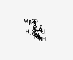 COC(=O)NCC1CCN(CC(=C/C(C)c2cc(F)cc(Cl)c2)/C=C(\N)Oc2cnc(N3CCNCC3)nc2)CC1